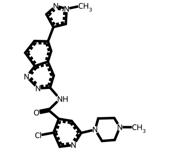 CN1CCN(c2cc(C(=O)Nc3cc4cc(-c5cnn(C)c5)ccc4nn3)c(Cl)cn2)CC1